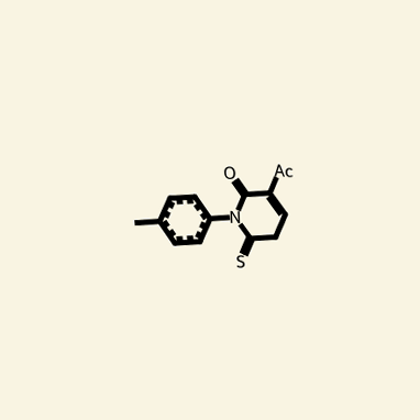 CC(=O)C1=CCC(=S)N(c2ccc(C)cc2)C1=O